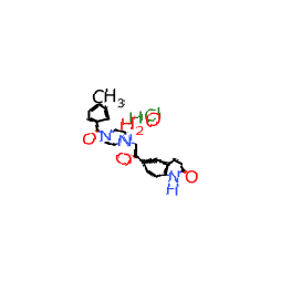 Cc1ccc(C(=O)N2CCN(CC(=O)c3ccc4c(c3)CCC(=O)N4)CC2)cc1.Cl.O